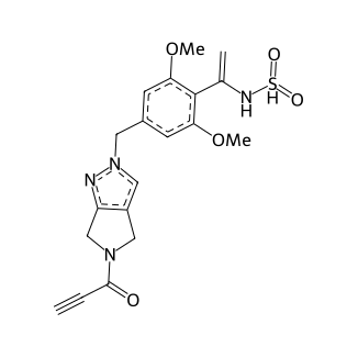 C#CC(=O)N1Cc2cn(Cc3cc(OC)c(C(=C)N[SH](=O)=O)c(OC)c3)nc2C1